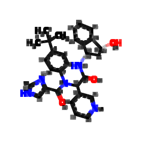 CC(C)(C)c1ccc(N(C(=O)c2c[nH]cn2)C(C(=O)N[C@H]2C[C@@H](O)c3ccccc32)c2cccnc2)cc1